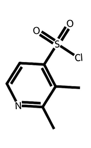 Cc1nccc(S(=O)(=O)Cl)c1C